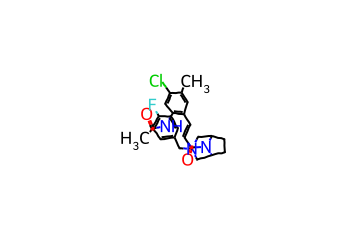 CC(=O)Nc1cc(Cl)c(C)cc1/C=C/C(=O)N1C2CCC1CN(Cc1ccc(F)cc1)C2